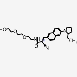 CCC1CCCN1c1ccc2cc(/C=C(\C#N)C(=O)NCCOCCOCCO)ccc2c1